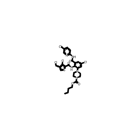 CCCCOC(=O)N1CCN(c2cc(Cl)cc(C(=O)Nc3ccc(Cl)cn3)c2NC(=O)c2scc(CCl)c2Cl)CC1